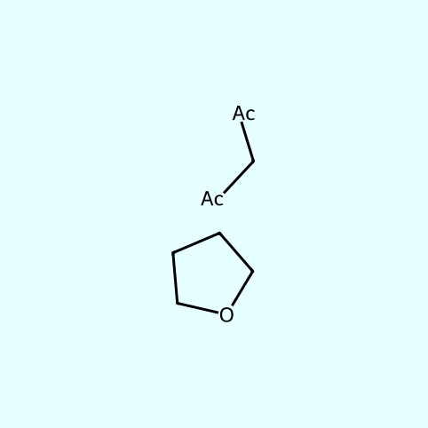 C1CCOC1.CC(=O)CC(C)=O